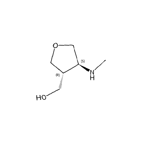 CN[C@@H]1COC[C@H]1CO